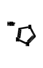 Br.c1nncs1